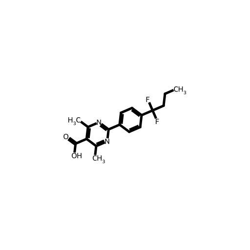 CCCC(F)(F)c1ccc(-c2nc(C)c(C(=O)O)c(C)n2)cc1